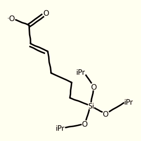 CC(C)O[Si](CCCC=CC([O])=O)(OC(C)C)OC(C)C